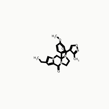 CCc1cc2n(c1)CC1(c3ccc(OC)cc3)N(C(=O)c3conc3C)CCN1C2=O